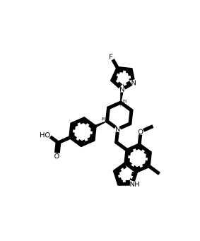 COc1cc(C)c2[nH]ccc2c1CN1CC[C@H](n2cc(F)cn2)C[C@@H]1c1ccc(C(=O)O)cc1